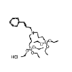 CCO[Si](CCCN(CC=Cc1ccccc1)CCC[Si](OCC)(OCC)OCC)(OCC)OCC.Cl